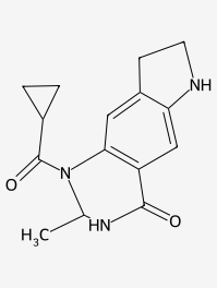 CC1NC(=O)c2cc3c(cc2N1C(=O)C1CC1)CCN3